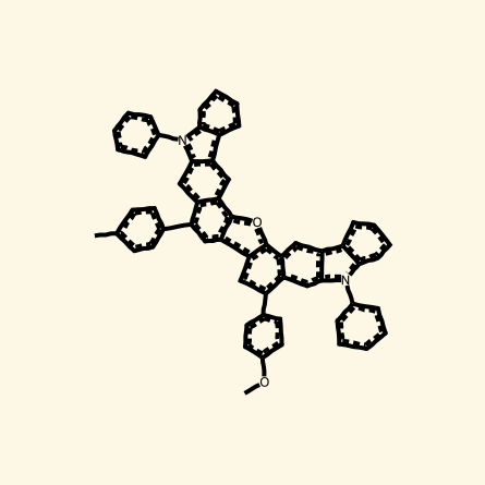 COc1ccc(-c2cc3c4cc(-c5ccc(C)cc5)c5cc6c(cc5c4oc3c3cc4c5ccccc5n(-c5ccccc5)c4cc23)c2ccccc2n6-c2ccccc2)cc1